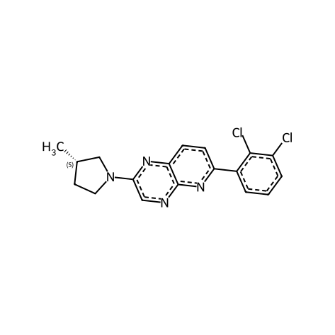 C[C@H]1CCN(c2cnc3nc(-c4cccc(Cl)c4Cl)ccc3n2)C1